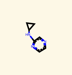 [c]1nccnc1NC1CC1